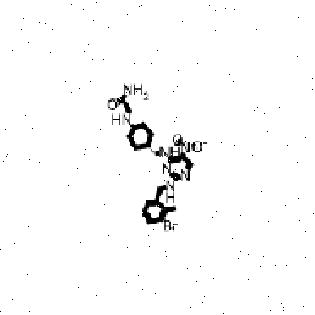 Cc1c(Br)cccc1CNc1ncc([N+](=O)[O-])c(NC[C@H]2CC[C@H](NCC(N)=O)CC2)n1